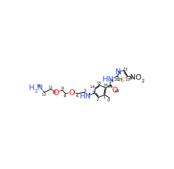 Cc1cc(NCCOCCOCCN)ccc1C(=O)Nc1ncc([N+](=O)[O-])s1